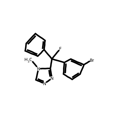 Cn1cnnc1C(F)(c1ccccc1)c1cccc(Br)c1